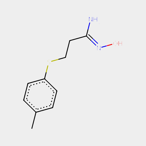 Cc1ccc(SCCC(N)=NO)cc1